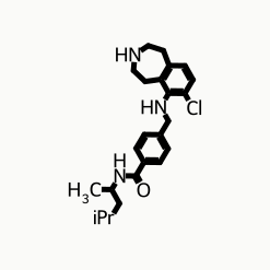 CC(C)CC(C)NC(=O)c1ccc(CNc2c(Cl)ccc3c2CCNCC3)cc1